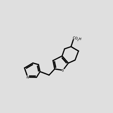 O=C(O)C1CCc2sc(Cc3cccnc3)cc2C1